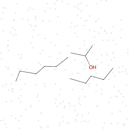 CC(C)O.CCCCC.CCCCCC